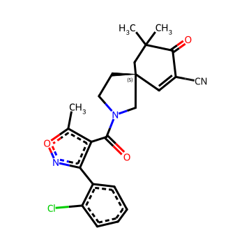 Cc1onc(-c2ccccc2Cl)c1C(=O)N1CC[C@@]2(C=C(C#N)C(=O)C(C)(C)C2)C1